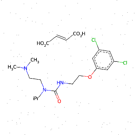 CC(C)N(CCN(C)C)C(=O)NCCOc1cc(Cl)cc(Cl)c1.O=C(O)C=CC(=O)O